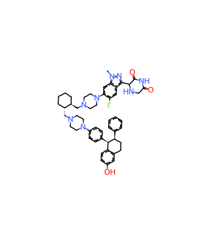 Cn1nc(C2NCC(=O)NC2=O)c2cc(F)c(N3CCN(C[C@@H]4CCCC[C@H]4CN4CCN(c5ccc([C@@H]6c7ccc(O)cc7CC[C@@H]6c6ccccc6)cc5)CC4)CC3)cc21